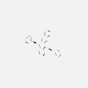 C(#Cc1c2ccccc2c(C#Cc2ccccc2)c2cc3ccccc3cc12)c1ccccc1